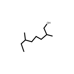 [CH2]CC(C)CCCC(C)CO